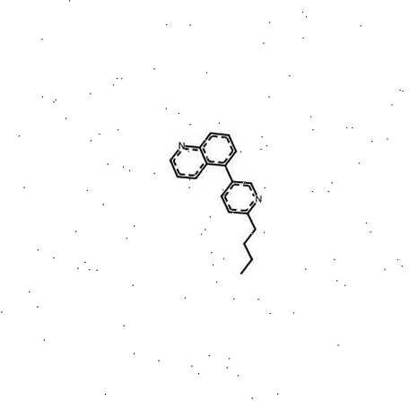 CCCCc1ccc(-c2cccc3ncccc23)cn1